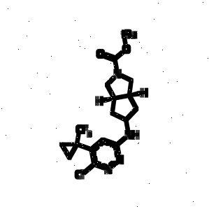 CC(C)(C)OC(=O)N1C[C@H]2CC(Nc3cc(C4(C(F)(F)F)CC4)c(Cl)nn3)C[C@H]2C1